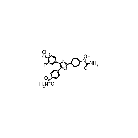 COc1ccc(-c2nc(C3CCC(N(O)C(N)=O)CC3)oc2-c2ccc(S(N)(=O)=O)cc2)cc1F